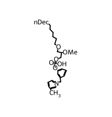 CCCCCCCCCCCCCCCCOCC(COP(=O)(O)Oc1cccc(C[n+]2cccc(C)c2)c1)OC